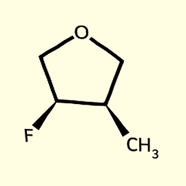 C[C@@H]1COC[C@@H]1F